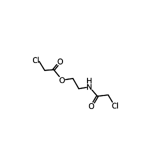 O=C(CCl)NCCOC(=O)CCl